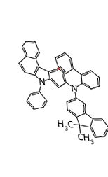 CC1(C)c2ccccc2-c2cc(N(c3ccc4c5c6ccccc6ccc5n(-c5ccccc5)c4c3)c3ccccc3-c3ccccc3)ccc21